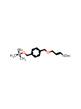 CCCCCCCCCC/C=C/COCc1ccc(CO[Si](C)(C)C(C)(C)C)cc1